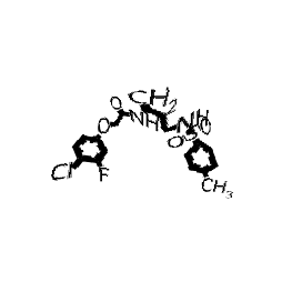 C=C(CCNS(=O)(=O)c1ccc(C)cc1)NC(=O)COc1ccc(Cl)c(F)c1